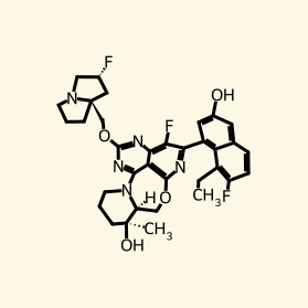 CCc1c(F)ccc2cc(O)cc(-c3nc4c5c(nc(OC[C@@]67CCCN6C[C@H](F)C7)nc5c3F)N3CCC[C@](C)(O)[C@@H]3CO4)c12